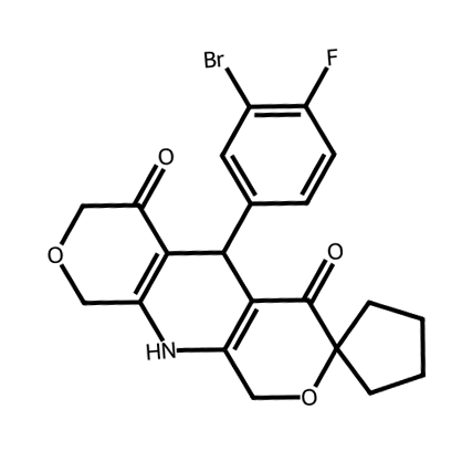 O=C1COCC2=C1C(c1ccc(F)c(Br)c1)C1=C(COC3(CCCC3)C1=O)N2